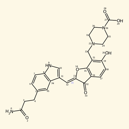 NC(=O)CCc1ccc2[nH]cc(/C=C3\Oc4c(ccc(O)c4CN4CCN(C(=O)O)CC4)C3=O)c2c1